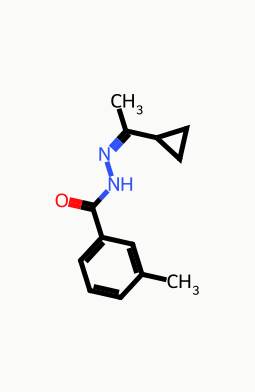 CC(=NNC(=O)c1cccc(C)c1)C1CC1